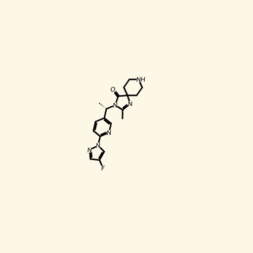 CC1=NC2(CCNCC2)C(=O)N1[C@@H](C)c1ccc(-n2cc(F)cn2)nc1